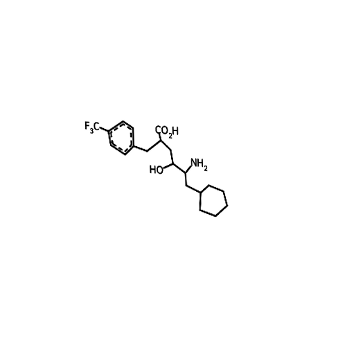 NC(CC1CCCCC1)C(O)CC(Cc1ccc(C(F)(F)F)cc1)C(=O)O